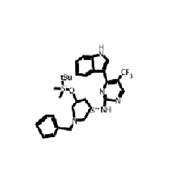 CC(C)(C)[Si](C)(C)OC1C[C@H](Nc2ncc(C(F)(F)F)c(-c3c[nH]c4ccccc34)n2)CN(Cc2ccccc2)C1